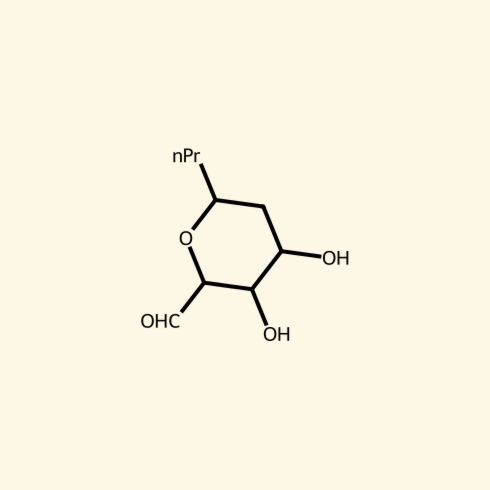 CCCC1CC(O)C(O)C(C=O)O1